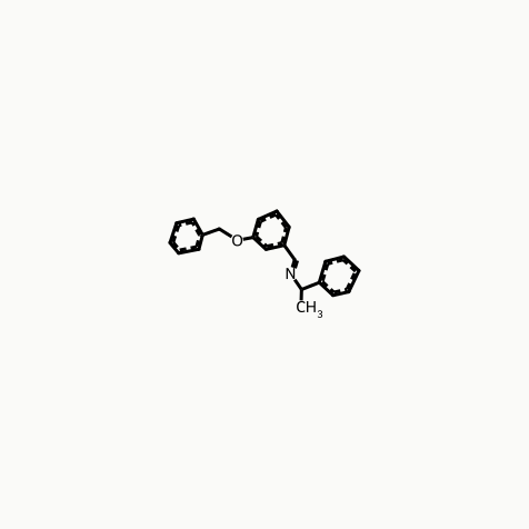 CC(/N=C/c1cccc(OCc2ccccc2)c1)c1ccccc1